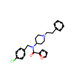 O=C(c1ccco1)N(Cc1ccc(Cl)cc1)C1CCN(CCc2ccccc2)CC1